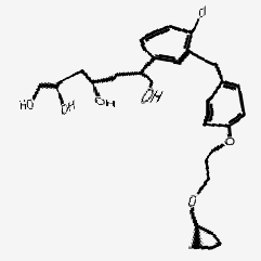 OC[C@H](O)C[C@H](O)CC(O)c1ccc(Cl)c(Cc2ccc(OCCOC3CC3)cc2)c1